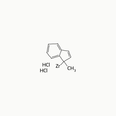 C[C]1([Zr])C=Cc2ccccc21.Cl.Cl